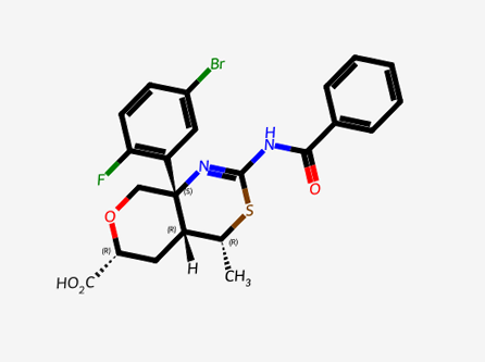 C[C@H]1SC(NC(=O)c2ccccc2)=N[C@@]2(c3cc(Br)ccc3F)CO[C@@H](C(=O)O)C[C@@H]12